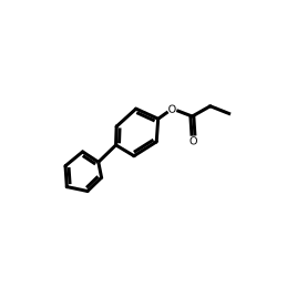 CCC(=O)Oc1ccc(-c2ccccc2)cc1